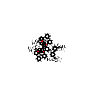 CC(C)(C)c1ccc2c(c1)B1c3cc(C(C)(C)C)ccc3N(c3ccccc3[Si](c3ccccc3)(c3ccccc3)c3ccccc3)c3cc(-n4c5ccc(C(C)(C)C)cc5c5cc(C(C)(C)C)ccc54)cc(c31)N2c1ccccc1[Si](c1ccccc1)(c1ccccc1)c1ccccc1